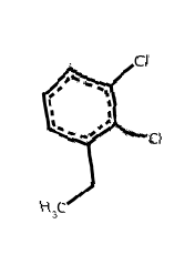 CCc1cc[c]c(Cl)c1Cl